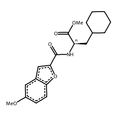 COC(=O)[C@@H](CC1CCCCC1)NC(=O)c1cc2cc(OC)ccc2o1